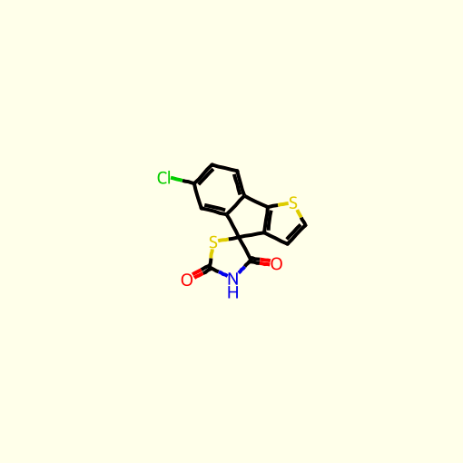 O=C1NC(=O)C2(S1)c1cc(Cl)ccc1-c1sccc12